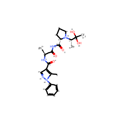 Cc1c(C(=O)N[C@H](C(=O)NC(=O)[C@@H]2CCCN2[C@@H](C(C)C)C(O)(O)C(F)(F)F)C(C)C)cnn1-c1ccccc1